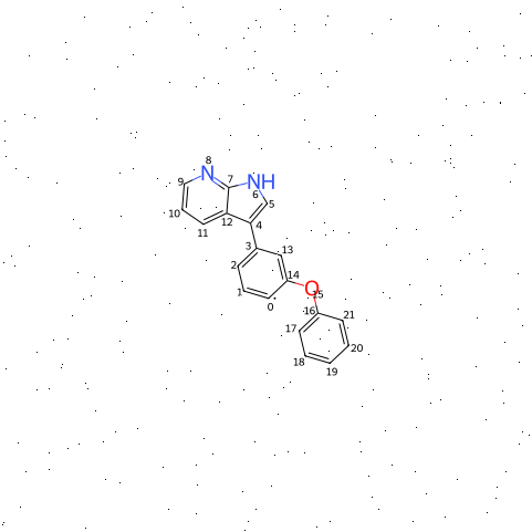 [c]1ccc(-c2c[nH]c3ncccc23)cc1Oc1ccccc1